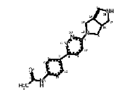 CC(=O)Nc1ccc(-c2ccc(N3CC4=CNCC4C3)nn2)cc1